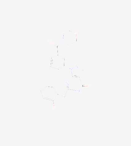 O=C(c1cccc(-n2ncc3c(=O)[nH]c(Cc4ccccc4OC(F)(F)F)nc32)c1)N1CCOCC1